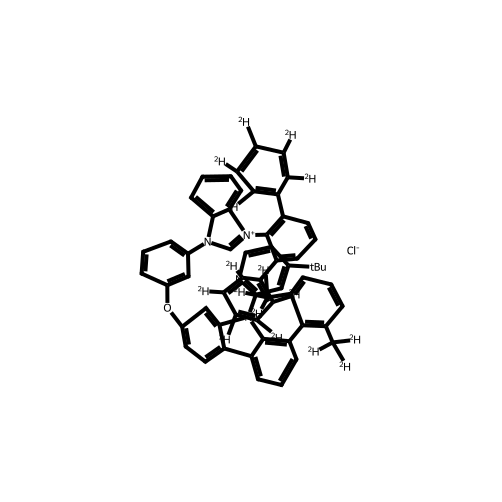 [2H]c1c([2H])c([2H])c(-c2cccc(-c3c([2H])c([2H])c([2H])c([2H])c3[2H])c2-[n+]2cn(-c3cccc(Oc4ccc5c6cccc(-c7c(C([2H])([2H])[2H])cccc7C([2H])([2H])[2H])c6n(-c6cc(C(C)(C)C)ccn6)c5c4)c3)c3ccccc32)c([2H])c1[2H].[Cl-]